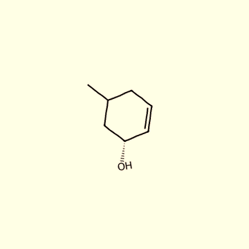 CC1CC=C[C@H](O)C1